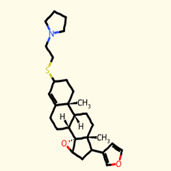 C[C@]12CCC(SCCN3CCCC3)C=C1CC[C@@H]1[C@H]2CC[C@]2(C)C(c3ccoc3)CC3O[C@]312